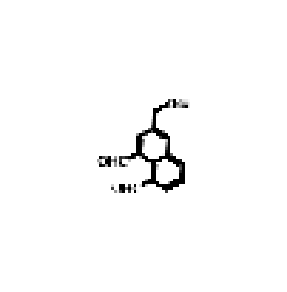 CC(C)(C)Cc1cc(C=O)c2c(C=O)cccc2c1